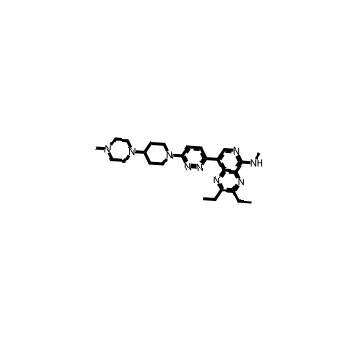 CCc1nc2c(-c3ccc(N4CCC(N5CCN(C)CC5)CC4)nn3)cnc(NC)c2nc1CC